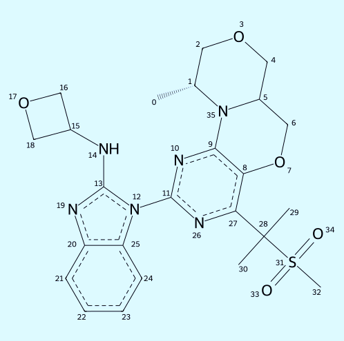 C[C@@H]1COCC2COc3c(nc(-n4c(NC5COC5)nc5ccccc54)nc3C(C)(C)S(C)(=O)=O)N21